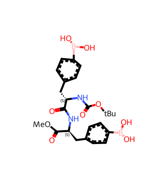 COC(=O)[C@H](Cc1ccc(B(O)O)cc1)NC(=O)[C@H](Cc1ccc(B(O)O)cc1)NC(=O)OC(C)(C)C